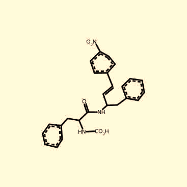 O=C(O)NC(Cc1ccccc1)C(=O)NC(/C=C/c1ccc([N+](=O)[O-])cc1)Cc1ccccc1